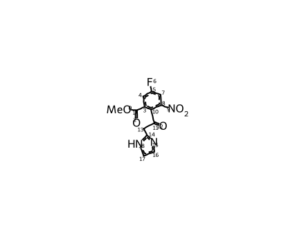 COC(=O)c1cc(F)cc([N+](=O)[O-])c1C(=O)Cc1ncc[nH]1